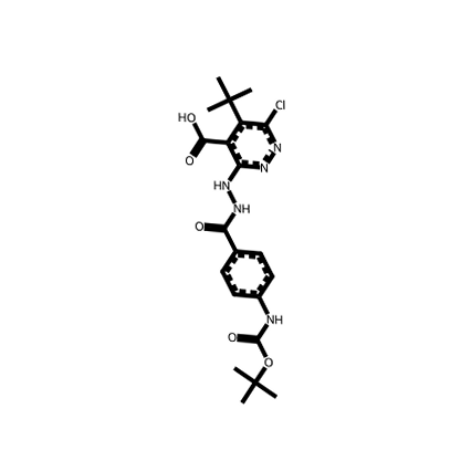 CC(C)(C)OC(=O)Nc1ccc(C(=O)NNc2nnc(Cl)c(C(C)(C)C)c2C(=O)O)cc1